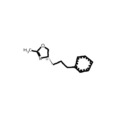 CC1=N[C@@H](CCCc2ccccc2)CO1